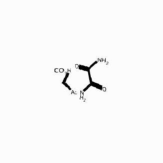 CC(=O)CC(=O)O.NC(=O)C(N)=O